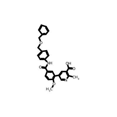 COc1ccc(C(=O)Nc2ccc(COCc3ccccc3)cc2)cc1-c1cnc(C)c(C(=O)O)c1